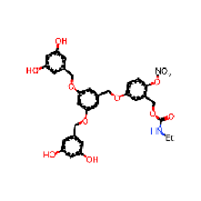 CCNC(=O)OCc1cc(OCc2cc(OCc3cc(O)cc(O)c3)cc(OCc3cc(O)cc(O)c3)c2)ccc1O[N+](=O)[O-]